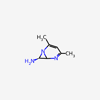 CC1=CC(C)=NC2[C@@H](N)N12